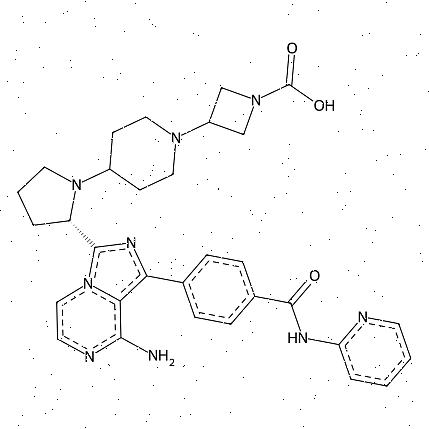 Nc1nccn2c([C@@H]3CCCN3C3CCN(C4CN(C(=O)O)C4)CC3)nc(-c3ccc(C(=O)Nc4ccccn4)cc3)c12